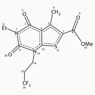 CCn1c(=O)c2c(C)c(C(=O)OC)sc2n(CCC(F)(F)F)c1=O